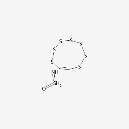 C1=CSSSSSSS1.N=[SH2]=O